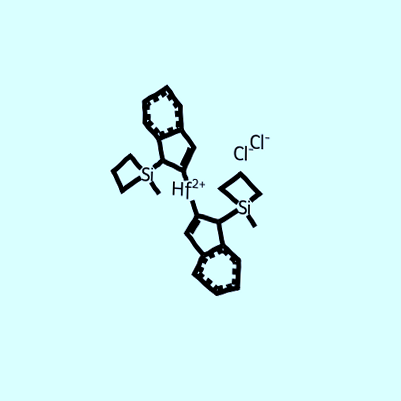 C[Si]1(C2[C]([Hf+2][C]3=Cc4ccccc4C3[Si]3(C)CCC3)=Cc3ccccc32)CCC1.[Cl-].[Cl-]